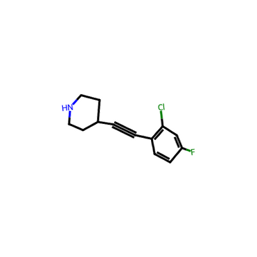 Fc1ccc(C#CC2CCNCC2)c(Cl)c1